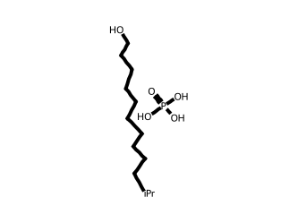 CC(C)CCCCCCCCCCO.O=P(O)(O)O